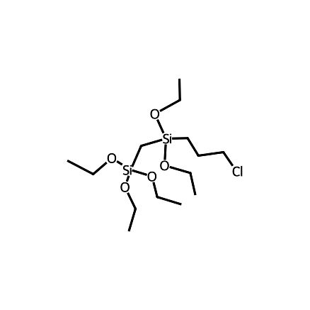 CCO[Si](CCCCl)(C[Si](OCC)(OCC)OCC)OCC